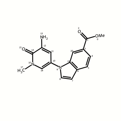 COC(=O)c1ccc2ccn(-c3cc(N)c(=O)n(C)c3)c2c1